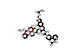 Cc1cc(CC(NC(=O)N2CCC3(CC2)OC(=O)Nc2ncccc23)C(=O)N[C@@H](CC2CCN(C(=O)OC(C)(C)C)CC2)C(=O)N2CCN(c3ccncc3)CC2)cc2cn(COC(=O)C(C)(C)C)nc12